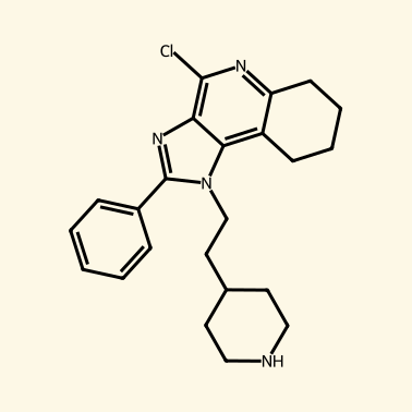 Clc1nc2c(c3c1nc(-c1ccccc1)n3CCC1CCNCC1)CCCC2